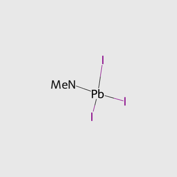 C[NH][Pb]([I])([I])[I]